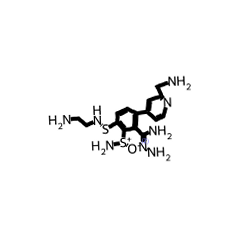 NCCNSc1ccc(-c2ccnc(CN)c2)c(/C(N)=N/N)c1[S+](N)[O-]